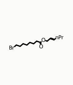 CCCC=CCOC(=O)CCCCCCCBr